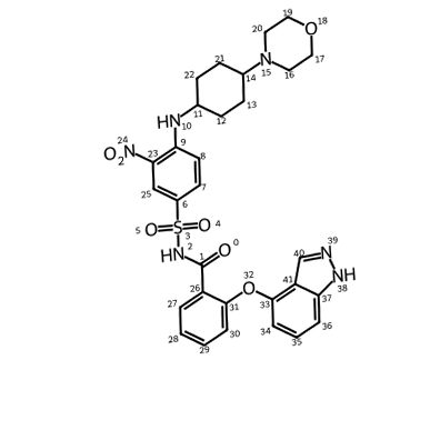 O=C(NS(=O)(=O)c1ccc(NC2CCC(N3CCOCC3)CC2)c([N+](=O)[O-])c1)c1ccccc1Oc1cccc2[nH]ncc12